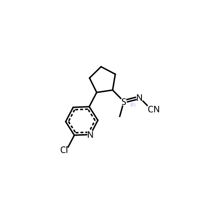 C/S(=N\C#N)C1CCCC1c1ccc(Cl)nc1